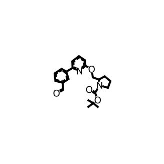 CC(C)(C)OC(=O)N1CCCC1COc1cccc(-c2cccc(C=O)c2)n1